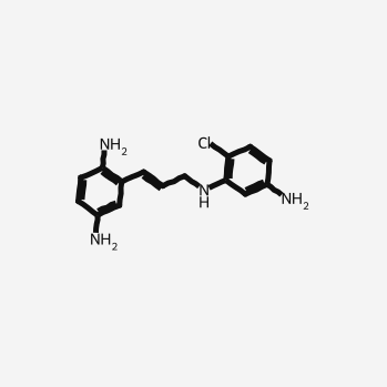 Nc1ccc(N)c(/C=C/CNc2cc(N)ccc2Cl)c1